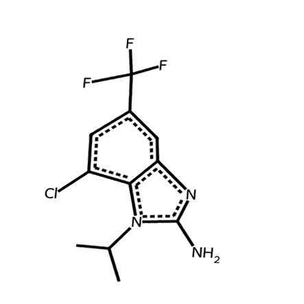 CC(C)n1c(N)nc2cc(C(F)(F)F)cc(Cl)c21